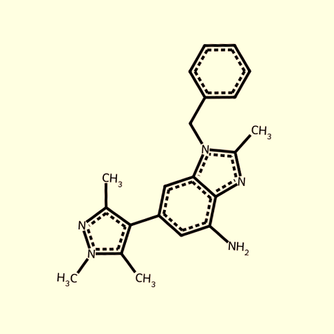 Cc1nn(C)c(C)c1-c1cc(N)c2nc(C)n(Cc3ccccc3)c2c1